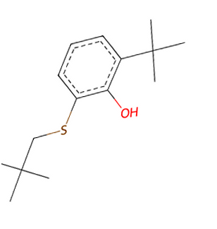 CC(C)(C)CSc1cccc(C(C)(C)C)c1O